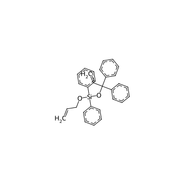 C=CCO[Si](OC(C=C)(c1ccccc1)c1ccccc1)(c1ccccc1)c1ccccc1